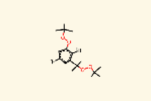 [2H]c1cc(OOC(C)(C)C)c([2H])c(C(C)(C)OOC(C)(C)C)c1